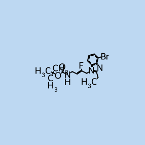 CCc1nc2c(Br)cccc2n1C/C(F)=C/CNC(=O)OC(C)(C)C